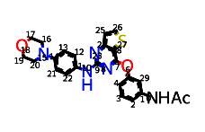 CC(=O)Nc1cccc(Oc2nc(Nc3ccc(N4CCOCC4)cc3)nc3ccsc23)c1